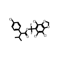 CC(C)C(C(=O)OC(F)(F)c1c(Cl)c(Cl)c2c(c1Cl)OCO2)c1ccc(Cl)cc1